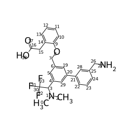 CN(C)C(c1cc(COc2ccccc2CC(=O)O)cc(-c2cccc(CN)c2)c1)C(F)(F)F